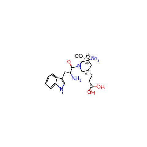 Cn1cc(CC(N)C(=O)N2C[C@@H](CCB(O)O)C[C@](N)(C(=O)O)C2)c2ccccc21